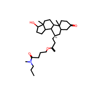 C=C(CC[C@@H]1CC2CC(=O)CCC2(C)C2CCC3(C)C(O)CCC3C21)OCCCC(=O)N(C)CCC